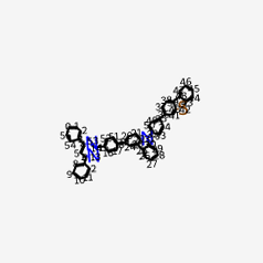 c1ccc(-c2cc(-c3ccccc3)nc(-c3ccc(-c4ccc5c(c4)c4ccccc4n5-c4ccc(-c5ccc6c(c5)sc5ccccc56)cc4)cc3)n2)cc1